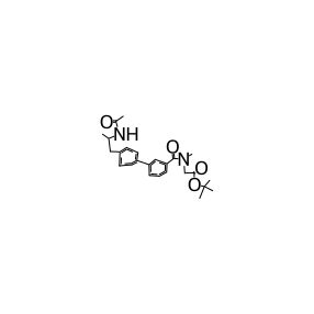 CC(=O)NC(C)Cc1ccc(-c2cccc(C(=O)N(C)CC(=O)OC(C)(C)C)c2)cc1